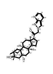 COC[C@]12CC[C@@](C)(O)C[C@@H]1CC[C@H]1[C@@H]3CC[C@H](C(=O)Cn4cc5cccnc5n4)[C@@]3(C)CC[C@@H]12